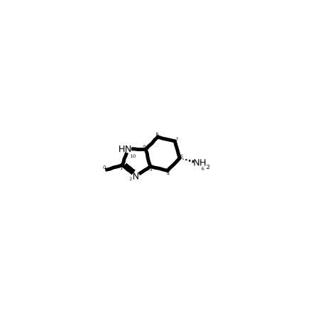 CC1=NC2C[C@@H](N)CCC2N1